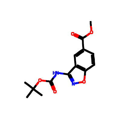 COC(=O)c1ccc2onc(NC(=O)OC(C)(C)C)c2c1